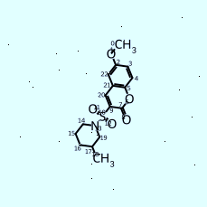 COc1ccc2oc(=O)c(S(=O)(=O)N3CCCC(C)C3)cc2c1